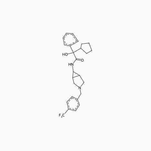 O=C(NC1C2CN(Cc3ccc(C(F)(F)F)cc3)CC21)C(O)(c1ccccc1)C1CCCC1